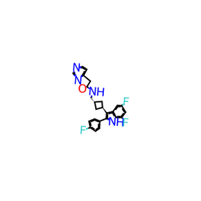 O=C(Cc1ccncn1)NC[C@H]1C[C@H](c2c(-c3ccc(F)cc3)[nH]c3c(F)cc(F)cc32)C1